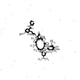 CC[C@H]1OC(=O)C(C)[C@@H](O[C@H]2C[C@@](C)(OC)[C@@H](O)C(C)O2)[C@H](C)[C@@H](OC2CC(N(C)C)C[C@@H](C)O2)C(C)(OC)C[C@@H](C)C(=O)[C@H](C)[C@H]2[C@H](SCCCc3c(C(=O)Nc4ccncc4)ccc(OC)c3OC)C(=O)O[C@@]21C